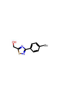 CCC(C)c1ccc(-c2nsc(CO)n2)cc1